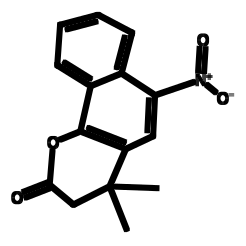 CC1(C)CC(=O)Oc2c1cc([N+](=O)[O-])c1ccccc21